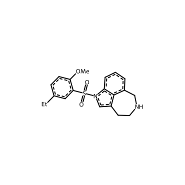 CCc1ccc(OC)c(S(=O)(=O)n2cc3c4c(cccc42)CNCC3)c1